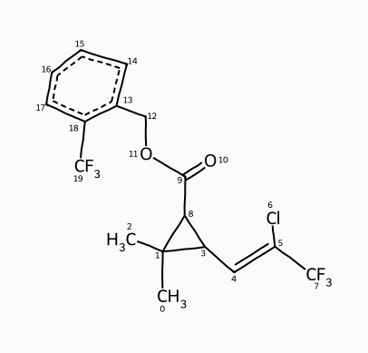 CC1(C)C(C=C(Cl)C(F)(F)F)C1C(=O)OCc1ccccc1C(F)(F)F